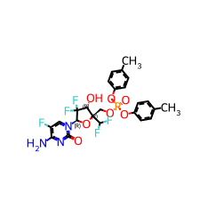 Cc1ccc(OP(=O)(OC[C@@]2(C(F)F)O[C@@H](n3cc(F)c(N)nc3=O)C(F)(F)[C@@H]2O)Oc2ccc(C)cc2)cc1